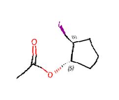 CC(=O)O[C@H]1CCC[C@@H]1I